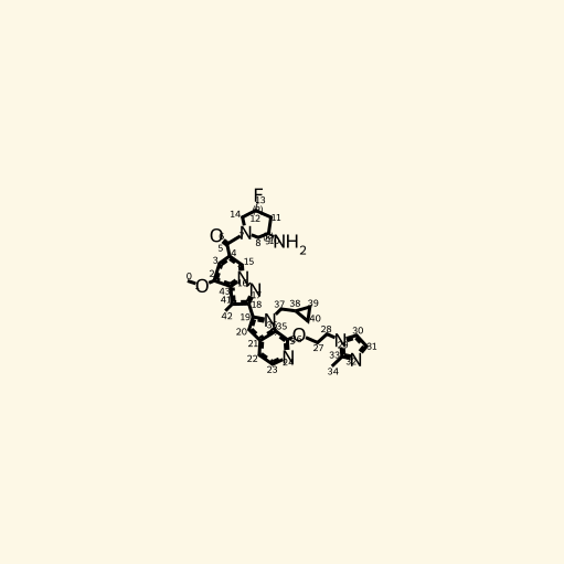 COc1cc(C(=O)N2C[C@H](N)C[C@@H](F)C2)cn2nc(-c3cc4ccnc(OCCn5ccnc5C)c4n3CC3CC3)c(C)c12